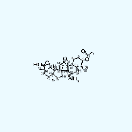 CC(=O)O[C@H]1CC[C@]2(C)[C@H]3C(=O)C=C4[C@@H]5C[C@@](C)(C(=O)O)CC[C@]5(C)CC[C@@]4(C)[C@]3(C)CC[C@H]2C1(C)C.[AlH3]